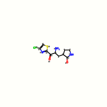 NC(CC1CCNC1=O)C(=O)c1nc(Cl)cs1